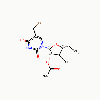 CC[C@H]1O[C@@H](n2cc(CBr)c(=O)[nH]c2=O)[C@@H](OC(C)=O)C1C